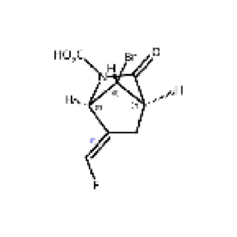 O=C(O)N1C(=O)[C@H]2C/C(=C\F)[C@@H]1[C@@H]2Br